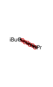 CC(C)COCCOCCOCCOCCOCCOCCOC(C)C